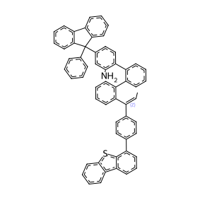 C/C=C(/c1ccc(-c2cccc3c2sc2ccccc23)cc1)c1ccccc1-c1ccccc1-c1ccc(C2(c3ccccc3)c3ccccc3-c3ccccc32)cc1N